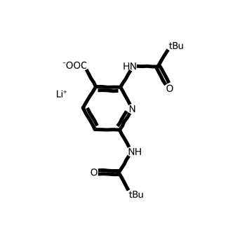 CC(C)(C)C(=O)Nc1ccc(C(=O)[O-])c(NC(=O)C(C)(C)C)n1.[Li+]